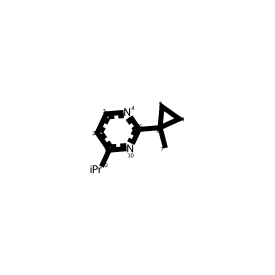 CC(C)c1ccnc(C2(C)CC2)n1